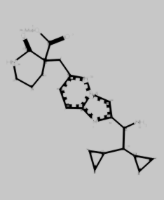 COC(=O)C1(Cc2ccc3nc(C(N)C(C4CC4)C4CC4)cn3n2)CCCNC1=O